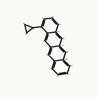 c1ccc2cc3cc4c([C]5CC5)cccc4cc3cc2c1